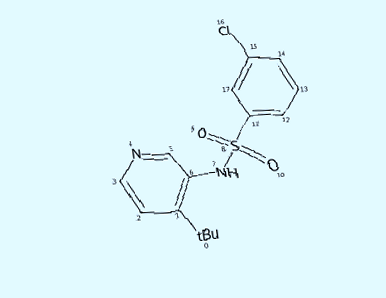 CC(C)(C)c1ccncc1NS(=O)(=O)c1cccc(Cl)c1